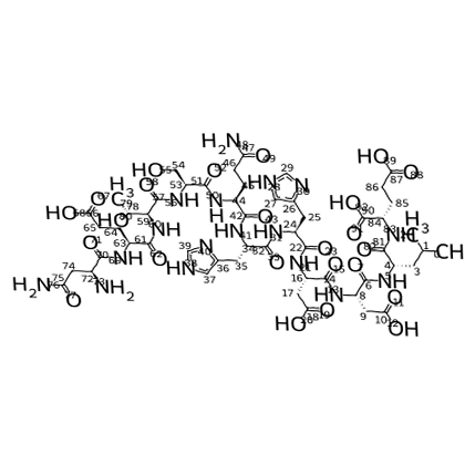 CC(C)C[C@H](NC(=O)[C@H](CC(=O)O)NC(=O)[C@H](CC(=O)O)NC(=O)[C@H](Cc1c[nH]cn1)NC(=O)[C@H](Cc1c[nH]cn1)NC(=O)[C@H](CCC(N)=O)NC(=O)[C@H](CO)NC(=O)[C@@H](NC(=O)[C@H](CCC(=O)O)NC(=O)[C@@H](N)CC(N)=O)[C@@H](C)O)C(=O)N[C@@H](CCC(=O)O)C(=O)O